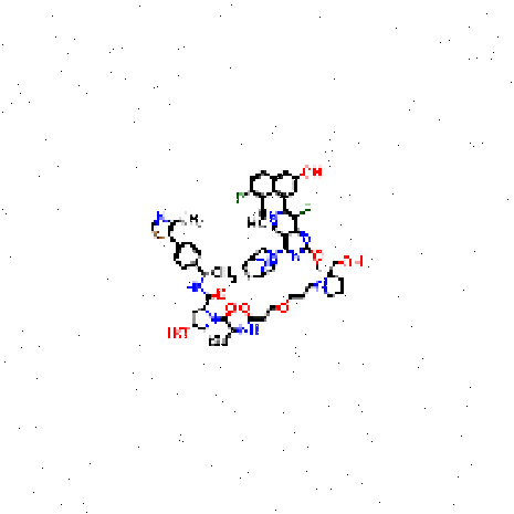 C#Cc1c(F)ccc2cc(O)cc(-c3ncc4c(N5CC6CCC(C5)N6)nc(OC[C@]5(CO)CCCN5CCCOCCC(=O)N[C@H](C(=O)N5C[C@H](O)C[C@H]5C(=O)N[C@@H](C)c5ccc(-c6scnc6C)cc5)C(C)(C)C)nc4c3F)c12